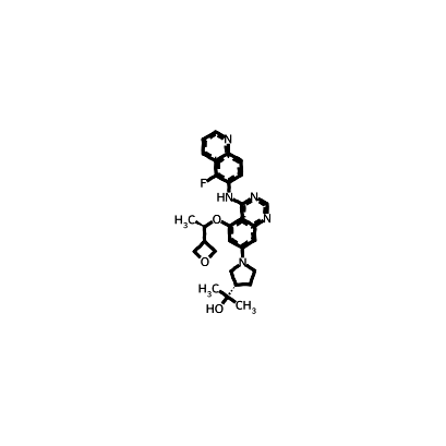 C[C@@H](Oc1cc(N2CC[C@H](C(C)(C)O)C2)cc2ncnc(Nc3ccc4ncccc4c3F)c12)C1COC1